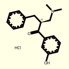 CN(C)C[C@H](Cc1ccccc1)C(=O)c1cccc(O)c1.Cl